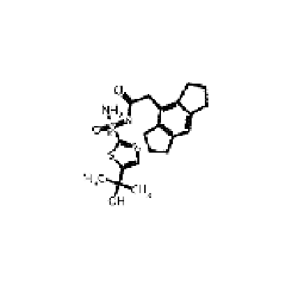 CC(C)(O)c1cnc([S@](N)(=O)=NC(=O)Cc2c3c(cc4c2CCC4)CCC3)s1